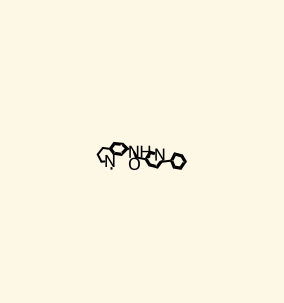 CN1CCCc2ccc(NC(=O)c3ccc(-c4ccccc4)nc3)cc21